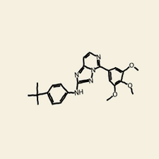 COc1cc(-c2nccc3nc(Nc4ccc(C(C)(C)C)cc4)nn23)cc(OC)c1OC